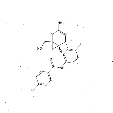 C[C@@]1(c2cc(NC(=O)c3ccc(Cl)cn3)cnc2F)N=C(N)S[C@@]2(CO)C[C@H]21